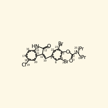 CC(C)N(C(=O)Oc1c(Br)cc(C=C2C(=O)Nc3ccc(Cl)cc32)cc1Br)C(C)C